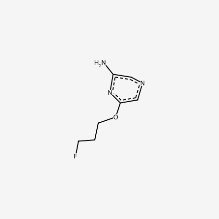 Nc1cncc(OCCCF)n1